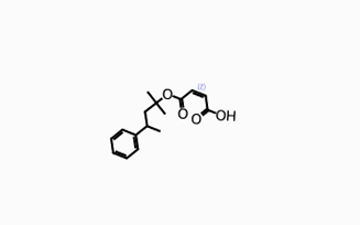 CC(CC(C)(C)OC(=O)/C=C\C(=O)O)c1ccccc1